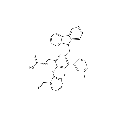 Cc1cc(-c2c(CC3c4ccccc4-c4ccccc43)cc(CNC(=O)O)c(Sc3ncccc3C=O)c2Cl)ccn1